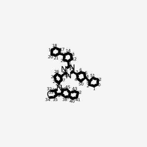 c1ccc(-c2ccc(-c3nc(-c4cccc(-c5ccccc5)c4)nc(-c4cccc(-n5c6ccccc6c6cc7ccccc7cc65)c4)n3)cc2)cc1